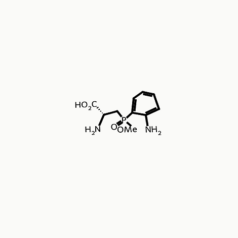 COP(=O)(C[C@H](N)C(=O)O)c1ccccc1N